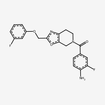 Nc1ccc(C(=O)N2CCc3nc(COc4cccc(F)c4)oc3C2)cc1F